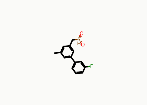 Cc1cc(C[SH](=O)=O)[c]c(-c2cccc(F)c2)c1